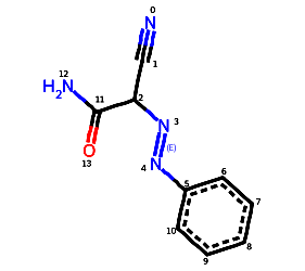 N#CC(/N=N/c1ccccc1)C(N)=O